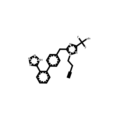 C#CCCn1nc(C(F)(F)CCC)nc1Cc1ccc(-c2ccccc2-c2nnn[nH]2)cc1